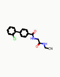 N#CCNC(=O)CNC(=O)c1ccc(-c2ccccc2Cl)cc1